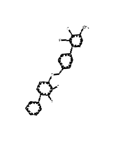 Cc1ccc(-c2ccc(COc3ccc(-c4ccccc4)c(F)c3F)cc2)c(F)c1F